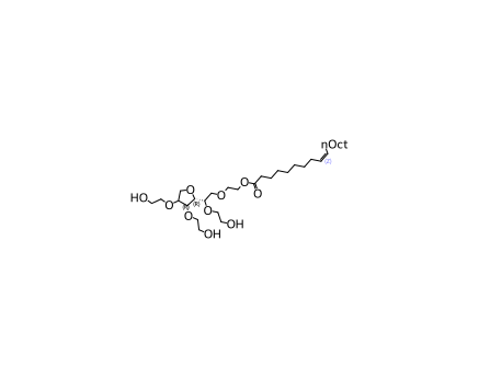 CCCCCCCC/C=C\CCCCCCCC(=O)OCCOCC(OCCO)[C@H]1OCC(OCCO)[C@H]1OCCO